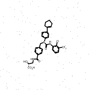 O=C(NC[C@@H](O)C(=O)O)c1ccc(CN(C(=O)Nc2cccc(C(F)(F)F)c2Cl)c2ccc(C3=CCCCC3)cc2)cc1